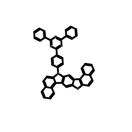 c1ccc(-c2nc(-c3ccccc3)nc(-c3ccc(-n4c5cc6c(cc5c5c7ccccc7ccc54)sc4ccc5ccccc5c46)cc3)n2)cc1